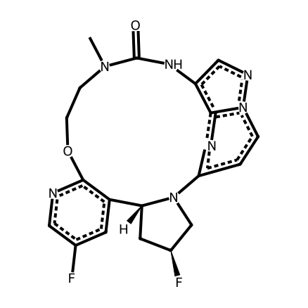 CN1CCOc2ncc(F)cc2[C@H]2C[C@H](F)CN2c2ccn3ncc(c3n2)NC1=O